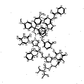 COc1ccc(C(OC[C@@H]2O[C@@H](n3cnc4c(NC(=O)c5ccccc5)ncnc43)C[C@H]2C(c2cc[c]c(Cl)c2)[C@H]2O[C@@H](n3cc(C)c(=O)[nH]c3=O)C[C@@H]2OP(=O)(OC[C@H]2O[C@@H](n3cc(C)c(=O)[nH]c3=O)C[C@@H]2OP(OCCC#N)N(C(C)C)C(C)C)Oc2ccccc2Cl)(c2ccccc2)c2ccc(OC)cc2)cc1